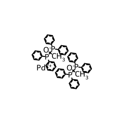 CC([O-])(P(c1ccccc1)c1ccccc1)P(c1ccccc1)c1ccccc1.CC([O-])(P(c1ccccc1)c1ccccc1)P(c1ccccc1)c1ccccc1.[Pd+2]